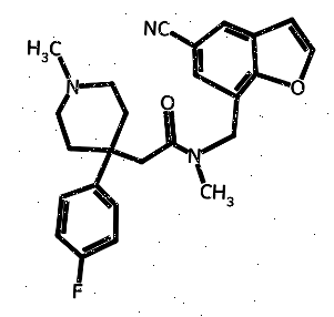 CN1CCC(CC(=O)N(C)Cc2cc(C#N)cc3ccoc23)(c2ccc(F)cc2)CC1